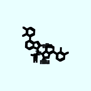 CCCCC1=Cc2c(-c3cccc(C)c3C)cccc2[CH]1[Zr]([CH]1C(CCCC)=Cc2c(-c3cccc(C)c3C)cccc21)[SiH](C)C